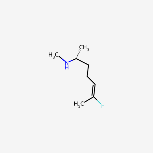 CN[C@H](C)CC/C=C(\C)F